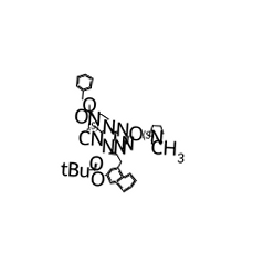 CN1CCC[C@H]1COc1nc(N2CCN(C(=O)OCc3ccccc3)[C@@H](CC#N)C2)c2ncc(Cc3cc(OC(=O)C(C)(C)C)cc4ccccc34)n2n1